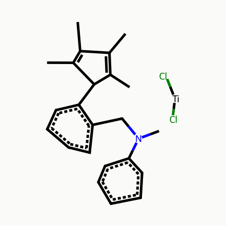 CC1=C(C)C(c2ccccc2CN(C)c2ccccc2)C(C)=C1C.[Cl][Ti][Cl]